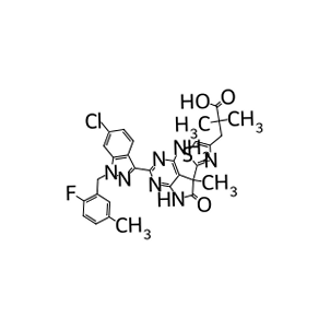 Cc1ccc(F)c(Cn2nc(-c3nc(N)c4c(n3)NC(=O)C4(C)c3nc(CC(C)(C)C(=O)O)cs3)c3ccc(Cl)cc32)c1